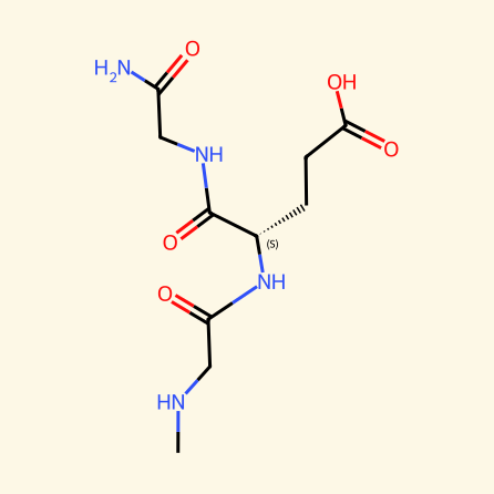 CNCC(=O)N[C@@H](CCC(=O)O)C(=O)NCC(N)=O